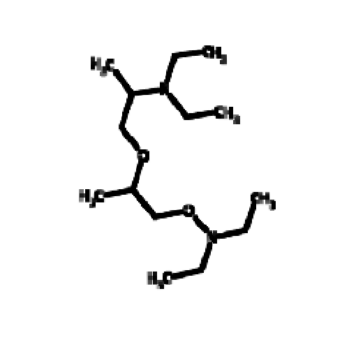 CCN(CC)OCC(C)OCC(C)N(CC)CC